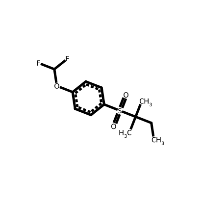 CCC(C)(C)S(=O)(=O)c1ccc(OC(F)F)cc1